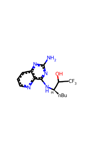 CCCC[C@@H](Nc1nc(N)nc2cccnc12)C(O)C(F)(F)F